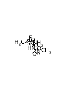 CCc1cc(F)c(S(N)(=O)=NC(=O)Nc2c3c(nc4c2CC[C@H]4C)CCC3)s1